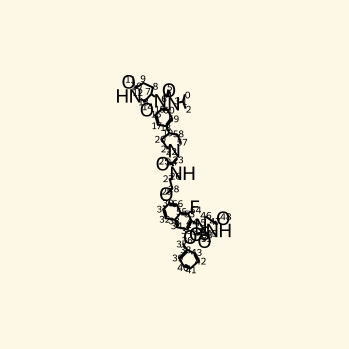 CC(C)n1c(=O)n(C2CCC(=O)NC2=O)c2ccc(C3CCN(CC(=O)NCCOc4ccc5cc(OCc6ccccc6)c(N6CC(=O)NS6(=O)=O)c(F)c5c4)CC3)cc21